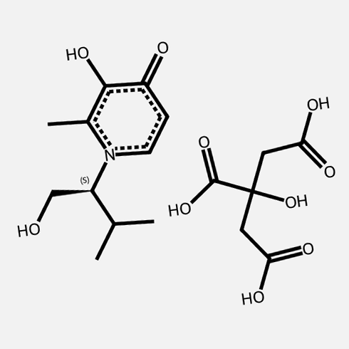 Cc1c(O)c(=O)ccn1[C@H](CO)C(C)C.O=C(O)CC(O)(CC(=O)O)C(=O)O